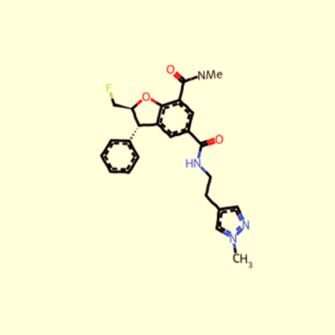 CNC(=O)c1cc(C(=O)NCCc2cnn(C)c2)cc2c1O[C@H](CF)[C@H]2c1ccccc1